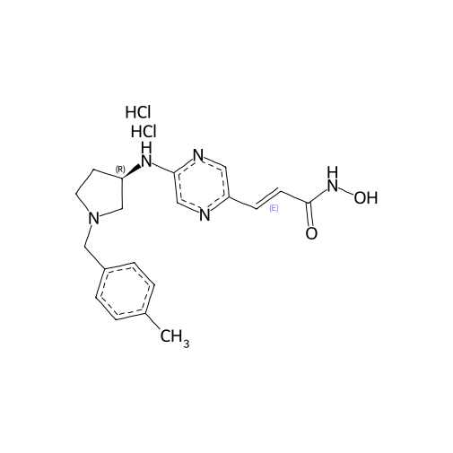 Cc1ccc(CN2CC[C@@H](Nc3cnc(/C=C/C(=O)NO)cn3)C2)cc1.Cl.Cl